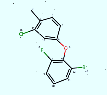 Cc1ccc(Oc2c(F)cccc2Br)cc1Cl